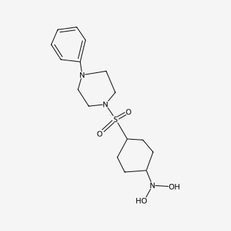 O=S(=O)(C1CCC(N(O)O)CC1)N1CCN(c2ccccc2)CC1